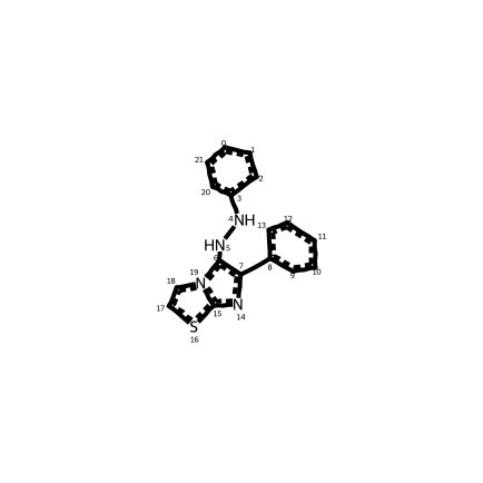 c1ccc(NNc2c(-c3ccccc3)nc3sccn23)cc1